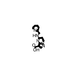 O=C(O)c1cnn2ccc(NCc3ccccn3)nc12